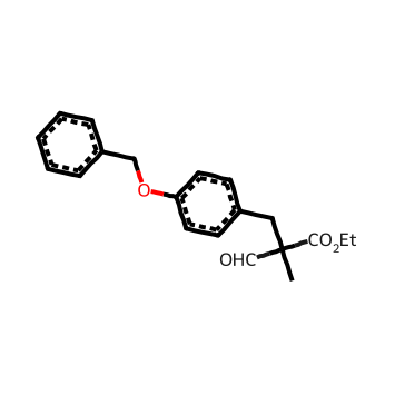 CCOC(=O)C(C)(C=O)Cc1ccc(OCc2ccccc2)cc1